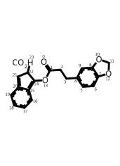 O=C(CCc1ccc2c(c1)OCO2)OC1=c2ccccc2=CC1C(=O)O